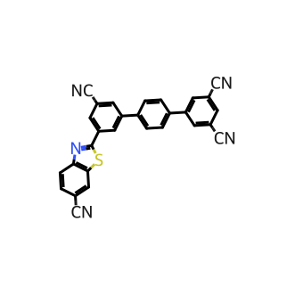 N#Cc1cc(C#N)cc(-c2ccc(-c3cc(C#N)cc(-c4nc5ccc(C#N)cc5s4)c3)cc2)c1